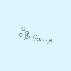 CC(=O)N(Cc1nc(-c2ccccc2)c(-c2ccccc2)o1)C1CCc2c(OCC(=O)O)cccc21